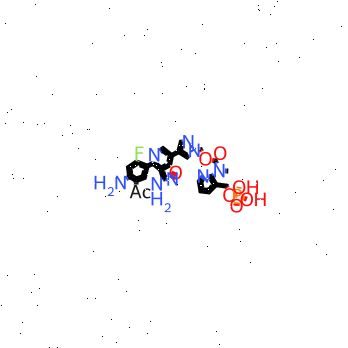 CC(=O)c1cc(-c2ncc(-c3cnn(COC(=O)N(C)c4ncccc4COP(=O)(O)O)c3)c3onc(N)c23)c(F)cc1N